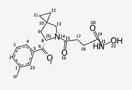 Cc1cccc(C(=O)[C@@H]2CC3(CC3)CN2C(=O)CCC(=O)NO)c1